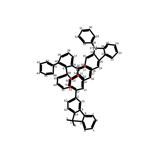 CC1(C)c2ccccc2-c2cc(-c3ccc(N(c4ccc5c6ccccc6n(-c6ccccc6)c5c4)c4cccc(-c5ccccc5)c4-c4ccccc4-c4ccccc4)cc3)ccc21